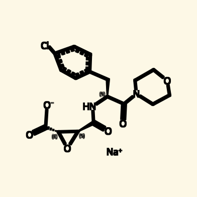 O=C([O-])[C@H]1O[C@@H]1C(=O)N[C@@H](Cc1ccc(Cl)cc1)C(=O)N1CCOCC1.[Na+]